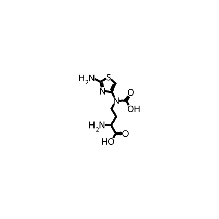 Nc1nc(N(CC[C@H](N)C(=O)O)C(=O)O)cs1